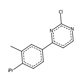 Cc1cc(-c2ccnc(Cl)n2)ccc1C(C)C